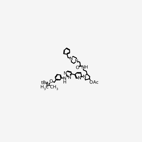 CC(=O)OC1CC(CCNC(=O)CN2CCN(Cc3ccccc3)CC2)N(c2ccc(-c3ccnc(Nc4cccc(CO[Si](C)(C)C(C)(C)C)c4)n3)cn2)C1